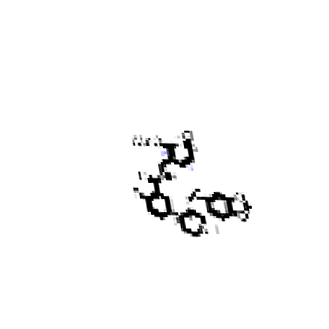 C#C/C=C\C(CNC(=O)c1cc([C@@H]2CCNC[C@H]2COc2ccc3c(c2)OCO3)ccc1F)=C(/C)OC